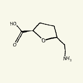 NCC1CC[C@H](C(=O)O)O1